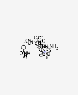 CO/N=C(\C(=O)N[C@@H]1C(=O)N2C(C(=O)[O-])=C(C[n+]3ccc4n3CCN4Cc3ccc(C(=O)NN4CCCC4)cc3)CS[C@H]12)c1nc(N)sc1Cl